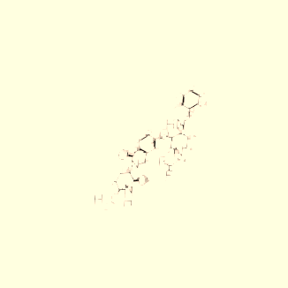 C=C1CCC(N2Cc3cc(OC4CN(CC(F)F)CCC4NCc4ccccc4)ccc3C2=O)C(=O)N1